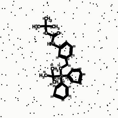 CC(C)(C)OC(=O)Nc1cccc(CO[Si](c2ccccc2)(c2ccccc2)C(C)(C)C)c1